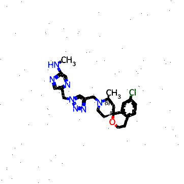 CNc1cnc(Cn2cc(CN3CC[C@]4(C[C@@H]3C)OCCc3ccc(Cl)cc34)nn2)cn1